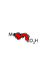 COC(=O)C1=C(CN2CCN3C(=O)N(c4ccc(Oc5ccc(C(=O)N6CCO[C@H](CCC(=O)O)C6)cc5)cc4)CC3C2)NC(c2nccs2)=N[C@H]1c1ccc(F)cc1Cl